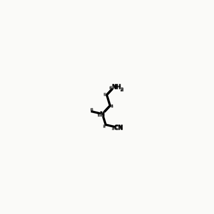 CN(CC#N)CCN